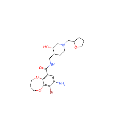 Nc1cc(C(=O)NC[C@@H]2CCN(CC3CCCO3)C[C@H]2O)c2c(c1Br)OCCCO2